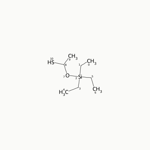 CC[Si](CC)(CC)OC(C)S